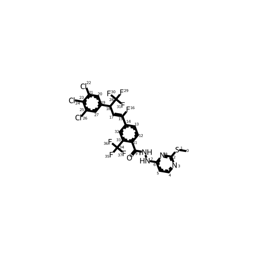 CSc1nccc(NNC(=O)c2ccc(/C(F)=C/C(c3cc(Cl)c(Cl)c(Cl)c3)C(F)(F)F)cc2C(F)(F)F)n1